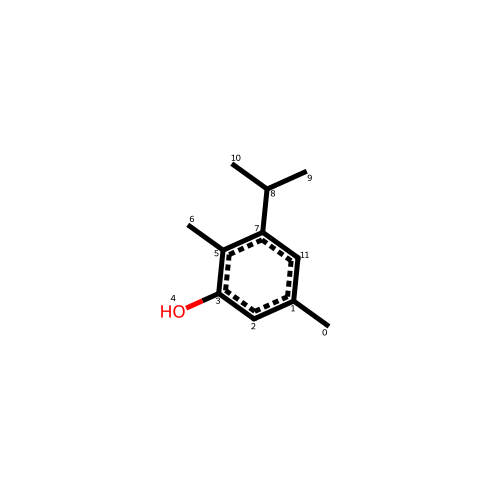 Cc1cc(O)c(C)c(C(C)C)c1